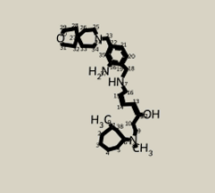 CC1CCCCC(N(C)CC/C(O)=C\C=C/CNCc2ccc(CN3CCC4(CCOCC4)CC3)cc2N)C1